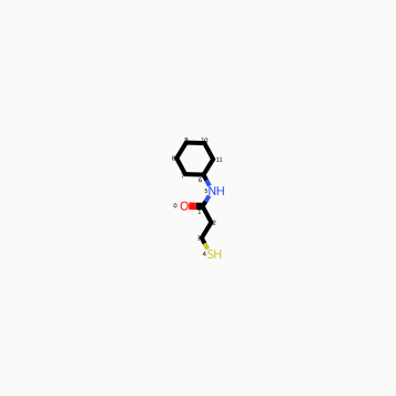 O=C(CCS)NC1CCCCC1